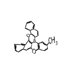 Cc1ccc2c(c1)B1c3ccc4ccccc4c3Oc3c1c(cc1ccccc31)O2